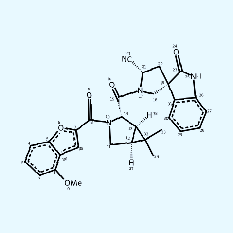 COc1cccc2oc(C(=O)N3C[C@H]4[C@@H]([C@H]3C(=O)N3C[C@]5(C[C@H]3C#N)C(=O)Nc3ccccc35)C4(C)C)cc12